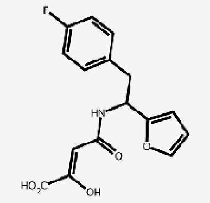 O=C(/C=C(\O)C(=O)O)NC(Cc1ccc(F)cc1)c1ccco1